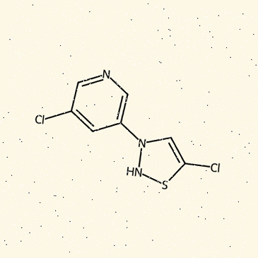 ClC1=CN(c2cncc(Cl)c2)NS1